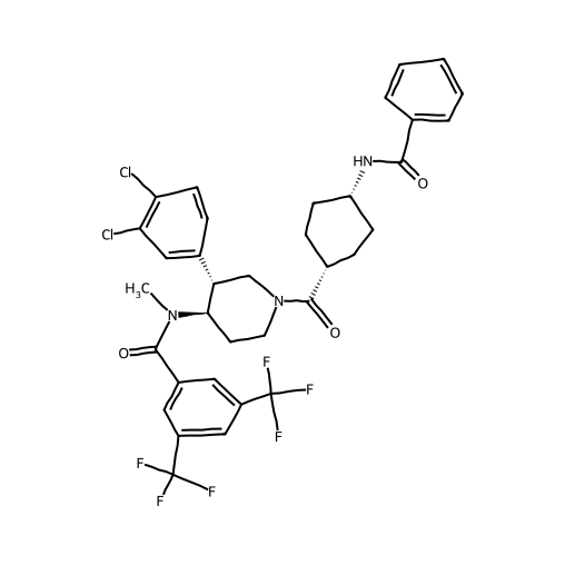 CN(C(=O)c1cc(C(F)(F)F)cc(C(F)(F)F)c1)[C@@H]1CCN(C(=O)[C@H]2CC[C@@H](NC(=O)c3ccccc3)CC2)C[C@H]1c1ccc(Cl)c(Cl)c1